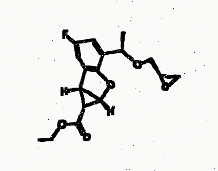 CCOC(=O)[C@@H]1[C@H]2Oc3c(cc(F)cc3[C@@H](C)OC[C@H]3CO3)[C@H]21